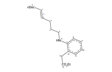 CCCCCCCCCC/C=C/CCCNc1ccccc1CC(=O)OCC